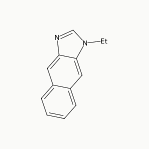 CCn1cnc2cc3ccccc3cc21